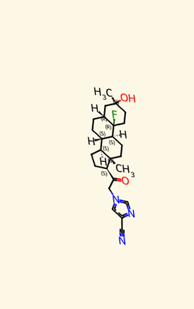 C[C@@]1(O)CC[C@@]2(F)[C@H](CC[C@H]3[C@@H]4CC[C@H](C(=O)Cn5cnc(C#N)c5)[C@@]4(C)CC[C@@H]32)C1